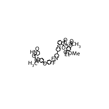 CCOc1cc([C@@H](CS(C)(=O)=O)N2C(=O)c3cccc(N4CCC(C5CCN(CC(F)(F)c6ccc(Oc7ccc8c([C@H]9CCC(=O)NC9=O)nn(C)c8c7)cc6)CC5)CC4)c3C2=O)ccc1OC